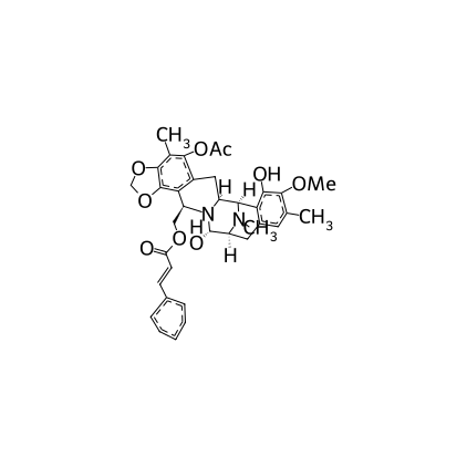 COc1c(C)cc2c(c1O)[C@@H]1[C@@H]3Cc4c(OC(C)=O)c(C)c5c(c4[C@H](COC(=O)/C=C/c4ccccc4)N3[C@@H](O)[C@H](C2)N1C)OCO5